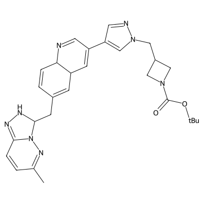 CC1=NN2C(=NNC2CC2=CC3C=C(c4cnn(CC5CN(C(=O)OC(C)(C)C)C5)c4)C=NC3C=C2)C=C1